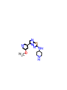 COc1cncc(-c2cnc3sc(NC4CCNCC4)nn23)c1